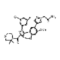 COc1cc2c(cc1-c1cnn(CC(N)=O)c1)-c1c(c(C(=O)N3CCOCC3(C)C)nn1-c1cc(F)cc(Cl)c1)CO2